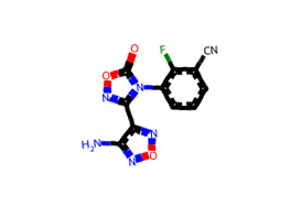 N#Cc1cccc(-n2c(-c3nonc3N)noc2=O)c1F